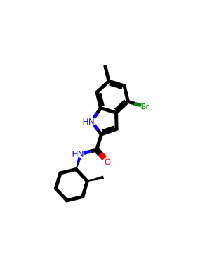 Cc1cc(Br)c2cc(C(=O)N[C@@H]3CCCC[C@@H]3C)[nH]c2c1